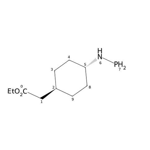 CCOC(=O)C[C@H]1CC[C@H](NP)CC1